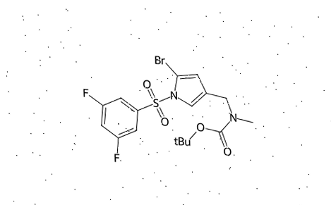 CN(Cc1cc(Br)n(S(=O)(=O)c2cc(F)cc(F)c2)c1)C(=O)OC(C)(C)C